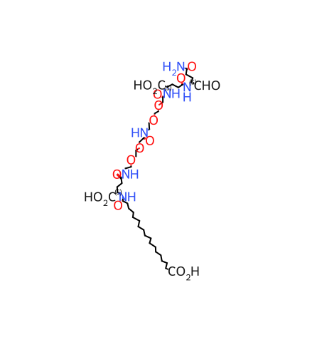 NC(=O)CC[C@@H](C=O)NC(=O)CC[C@H](NC(=O)COCCOCCNC(=O)COCCOCCNC(=O)CC[C@H](NC(=O)CCCCCCCCCCCCCCCCC(=O)O)C(=O)O)C(=O)O